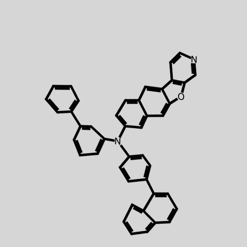 c1ccc(-c2cccc(N(c3ccc(-c4cccc5ccccc45)cc3)c3ccc4cc5c(cc4c3)oc3cnccc35)c2)cc1